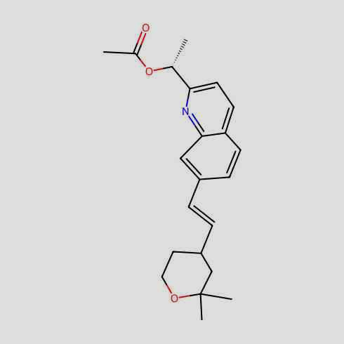 CC(=O)O[C@H](C)c1ccc2ccc(/C=C/C3CCOC(C)(C)C3)cc2n1